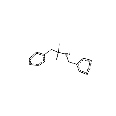 CC(C)(Cc1ccccc1)NCc1ccccc1